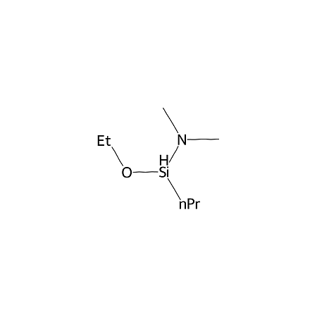 CCC[SiH](OCC)N(C)C